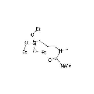 CCO[Si](CCCN(C)C(=O)NC)(OCC)OCC